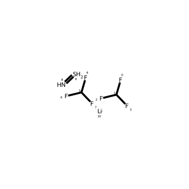 FC(F)F.FC(F)F.N=[SH2].[Li]